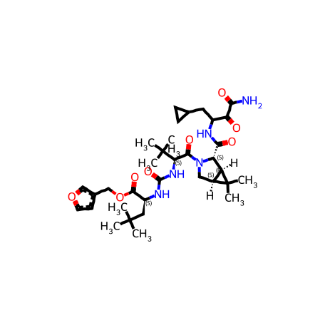 CC(C)(C)C[C@H](NC(=O)N[C@H](C(=O)N1C[C@H]2[C@@H]([C@H]1C(=O)NC(CC1CC1)C(=O)C(N)=O)C2(C)C)C(C)(C)C)C(=O)OCc1ccoc1